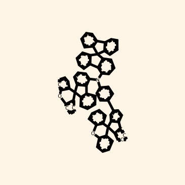 c1ccc2c(c1)Oc1ccccc1C21c2ccccc2-c2ccc(-c3ccc(N(c4cccc5c4-c4ccccc4C54c5ccccc5Oc5ccccc54)c4cccc5c4-c4ccccc4C54c5ccccc5-c5ccccc54)cc3)cc21